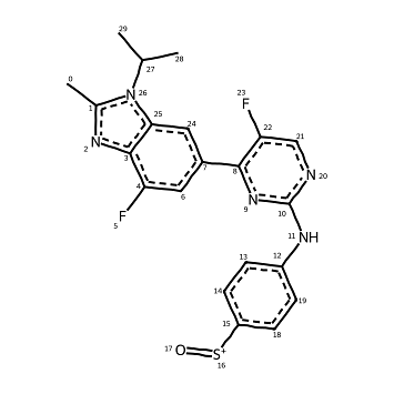 Cc1nc2c(F)cc(-c3nc(Nc4ccc([S+]=O)cc4)ncc3F)cc2n1C(C)C